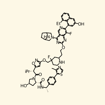 CCc1cccc2cc(O)cc(-c3ncc4c(N5CC6CCC(C5)N6)nc(OCCC5CC(F)(COc6cc([C@H](C(=O)N7C[C@H](O)C[C@H]7C(=O)N[C@@H](C)c7ccc(-c8scnc8C)cc7)C(C)C)on6)CCN5)nc4c3F)c12